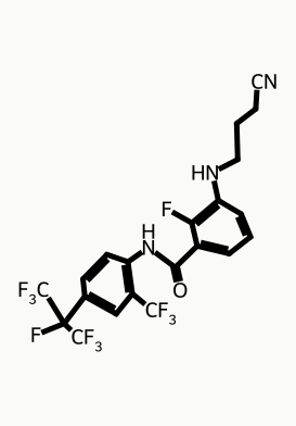 N#CCCCNc1cccc(C(=O)Nc2ccc(C(F)(C(F)(F)F)C(F)(F)F)cc2C(F)(F)F)c1F